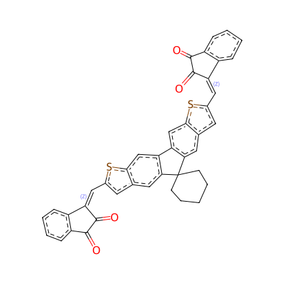 O=C1C(=O)c2ccccc2/C1=C/c1cc2cc3c(cc2s1)-c1cc2sc(/C=C4\C(=O)C(=O)c5ccccc54)cc2cc1C31CCCCC1